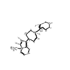 C[N+]12C=CN=CC1=C(C1CCN(C3CCOCC3)CC1)N=C2